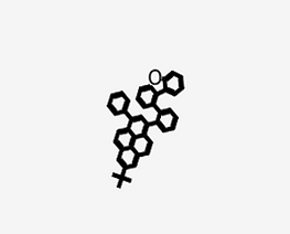 CC(C)(C)c1cc2ccc3c(-c4ccccc4)cc(-c4ccccc4-c4cccc5oc6ccccc6c45)c4ccc(c1)c2c34